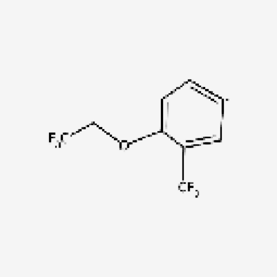 FC(F)(F)COc1cc[c]cc1C(F)(F)F